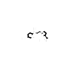 Cc1ccc(NCCn2c[c]c(C(N)=O)n2)nc1